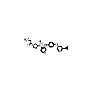 C=CC(=O)N1CCC(N(N=O)c2ccncc2Nc2ccc(Oc3cccc(C4CC4)c3)cc2)C1